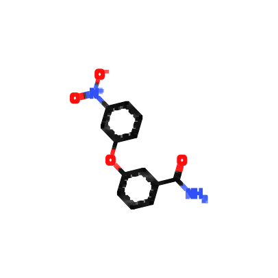 NC(=O)c1cccc(Oc2cccc([N+](=O)[O-])c2)c1